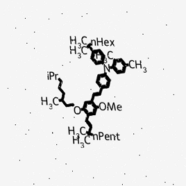 CCCCCCC(C)(C)c1ccc(N(c2ccc(C=Cc3cc(OCCC(C)CCCC(C)C)c(C=CC(C)(C)CCCCC)cc3OC)cc2)c2ccc(C)cc2C)cc1